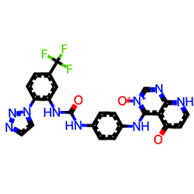 O=C(Nc1ccc(Nc2c3c(=O)cc[nH]c3nc[n+]2[O-])cc1)Nc1cc(C(F)(F)F)ccc1-n1ccnn1